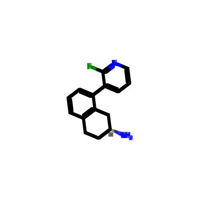 N[C@@H]1CCc2cccc(-c3cccnc3F)c2C1